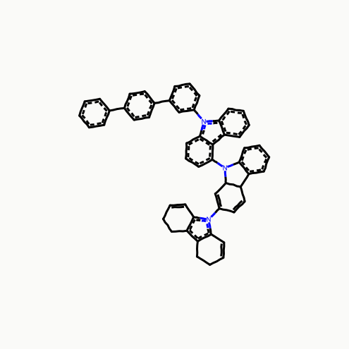 C1=Cc2c(c3c(n2C2=CC4C(C=C2)c2ccccc2N4c2cccc4c2c2ccccc2n4-c2cccc(-c4ccc(-c5ccccc5)cc4)c2)C=CCC3)CC1